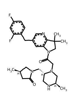 C[C@@H]1CC(=O)N(C[C@H]2CN[C@H](C)CN2CC(=O)N2CC(C)(C)c3ncc(Cc4ccc(F)cc4F)cc32)C1